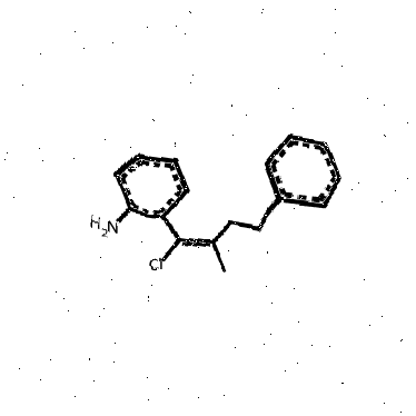 C/C(CCc1ccccc1)=C(\Cl)c1ccccc1N